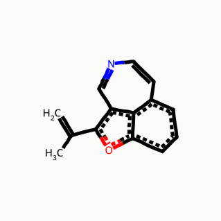 C=C(C)c1oc2cccc3c2c1C=NC=C3